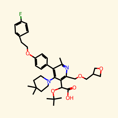 Cc1nc(COCC2COC2)c(C(OC(C)(C)C)C(=O)O)c(N2CCC(C)(C)CC2)c1-c1ccc(OCCc2ccc(F)cc2)cc1